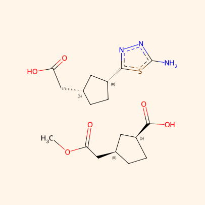 COC(=O)C[C@@H]1CC[C@H](C(=O)O)C1.Nc1nnc([C@@H]2CC[C@H](CC(=O)O)C2)s1